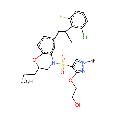 CC(=Cc1ccc2c(c1)N(S(=O)(=O)c1cn(C(C)C)nc1OCCO)CC(CCC(=O)O)O2)c1c(F)cccc1Cl